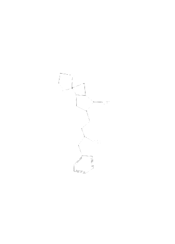 OC(CCC1CC2C(CC23OCCO3)C1O)Cc1ccccc1